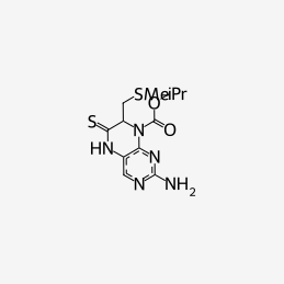 CSCC1C(=S)Nc2cnc(N)nc2N1C(=O)OC(C)C